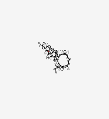 CCC(=O)O[C@H]1[C@H](C)O[C@@H](O[C@H]2[C@H](N(C)C)[C@@H](O)[C@H](O[C@@H]3[C@@H](CC)[C@H](OC(=O)CC)CC(=O)O[C@H](C)C/C=C/C=C/[C@H](O)[C@H](C)C[C@@H]3OC=O)O[C@@H]2C)C[C@@H]1C